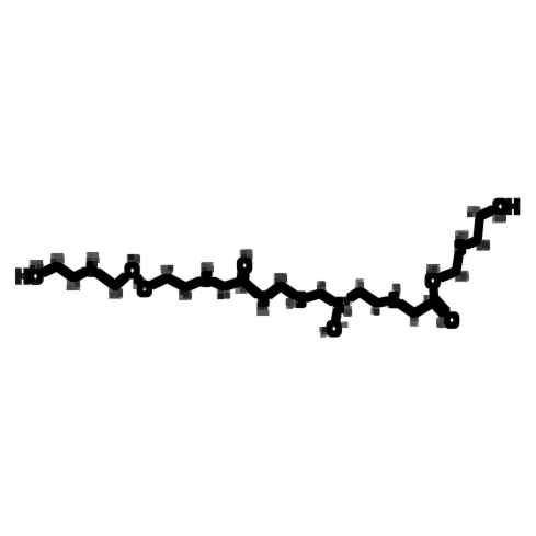 O=C(CSCC[S+]([O-])CSCSC(=O)CSCCOOCSCCO)OCSCCO